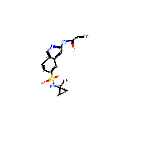 C=CC(=O)Nc1cc2cc(S(=O)(=O)NC3(C)CC3)ccc2cn1